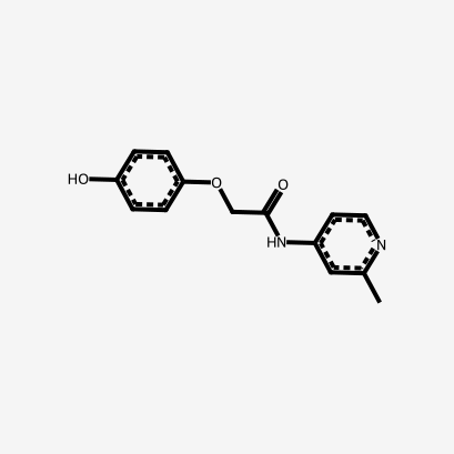 Cc1cc(NC(=O)COc2ccc(O)cc2)ccn1